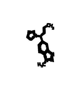 CC=CC(c1ccc2c(c1)nnn2C)n1ccnc1